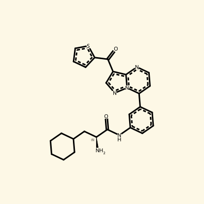 N[C@@H](CC1CCCCC1)C(=O)Nc1cccc(-c2ccnc3c(C(=O)c4cccs4)cnn23)c1